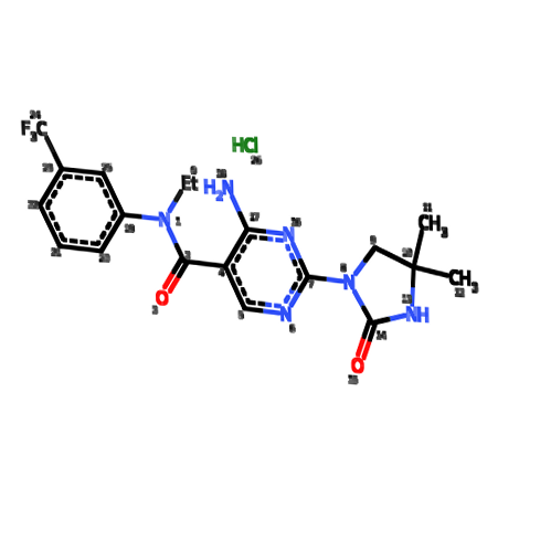 CCN(C(=O)c1cnc(N2CC(C)(C)NC2=O)nc1N)c1cccc(C(F)(F)F)c1.Cl